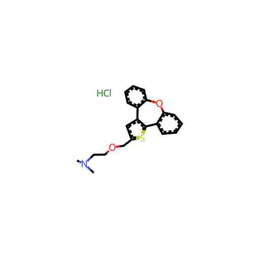 CN(C)CCOCc1cc2c(s1)-c1ccccc1Oc1ccccc1-2.Cl